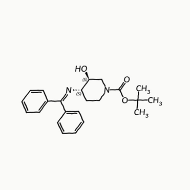 CC(C)(C)OC(=O)N1CC[C@H](N=C(c2ccccc2)c2ccccc2)[C@@H](O)C1